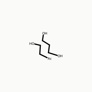 CC(=O)CCO.OCCCO